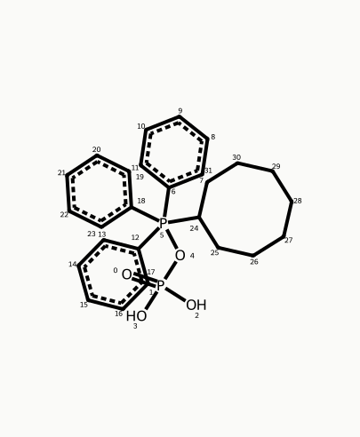 O=P(O)(O)OP(c1ccccc1)(c1ccccc1)(c1ccccc1)C1CCCCCCC1